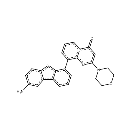 Nc1ccc2sc3c(-c4cccn5c(=O)cc(N6CCOCC6)nc45)cccc3c2c1